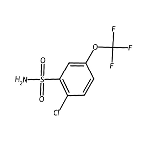 NS(=O)(=O)c1cc(OC(F)(F)F)ccc1Cl